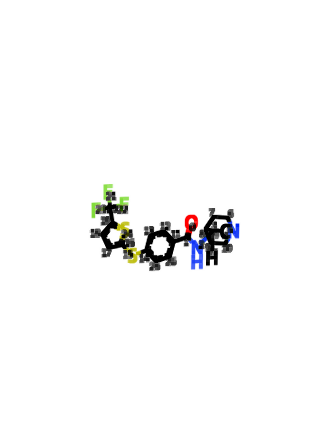 O=C(N[C@H]1CN2CCC1CC2)c1ccc(Sc2ccc(C(F)(F)F)s2)cc1